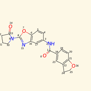 O=C(Nc1ccc2oc(N3CCCC3=O)nc2c1)c1ccc2c(c1)CCO2